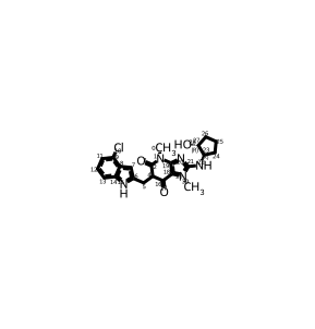 CN1C(=O)C(Cc2cc3c(Cl)cccc3[nH]2)C(=O)c2c1nc(N[C@@H]1CCC[C@H]1O)n2C